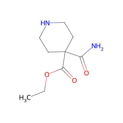 CCOC(=O)C1(C(N)=O)CCNCC1